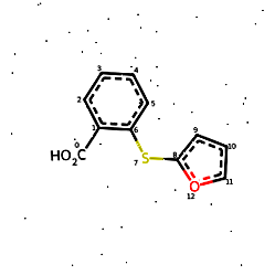 O=C(O)c1ccccc1Sc1ccco1